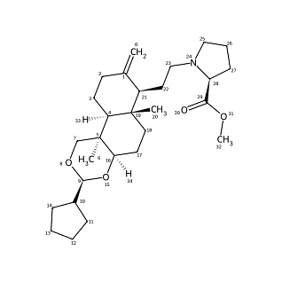 C=C1CC[C@@H]2[C@]3(C)CO[C@H](C4CCCC4)O[C@@H]3CC[C@@]2(C)[C@@H]1CCN1CCC[C@H]1C(=O)OC